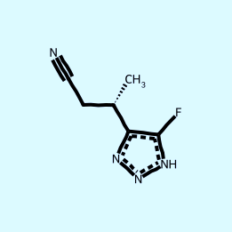 C[C@@H](CC#N)c1nn[nH]c1F